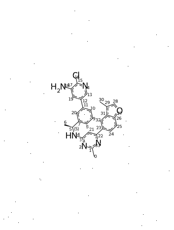 Cc1nc(N[C@@H](C)c2cccc(-c3cnc(Cl)c(N)c3)c2)cc(-c2ccc3occ(C)c3c2)n1